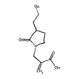 C=C(CN1CCC(CCO)C1=O)C(=O)O